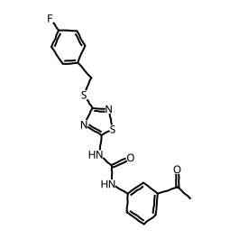 CC(=O)c1cccc(NC(=O)Nc2nc(SCc3ccc(F)cc3)ns2)c1